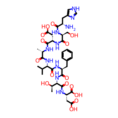 CC(C)[C@H](NC(=O)[C@H](C)NC(=O)[C@H](CC(=O)O)NC(=O)[C@H](CO)NC(=O)[C@@H](N)Cc1c[nH]cn1)C(=O)N[C@@H](Cc1ccccc1)C(=O)N[C@H](C(=O)N[C@@H](CC(=O)O)C(=O)O)[C@@H](C)O